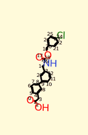 O=C(O)Cc1cccc(-c2cccc(CNC(=O)OCc3ccc(Cl)cc3)c2)c1